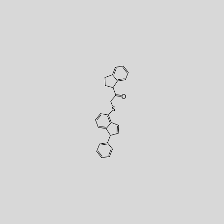 O=C(CSc1cccc2c1C=CC2c1ccccc1)C1CCc2ccccc21